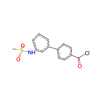 CS(=O)(=O)Nc1cccc(-c2ccc(C(=O)Cl)cc2)c1